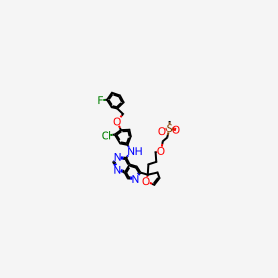 CS(=O)(=O)CCOCCCC1(c2cc3c(Nc4ccc(OCc5cccc(F)c5)c(Cl)c4)ncnc3cn2)CC=CO1